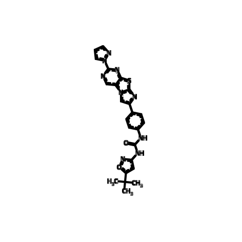 CC(C)(C)c1cc(NC(=O)Nc2ccc(-c3cn4c(n3)sc3nc(-n5cccn5)ncc34)cc2)no1